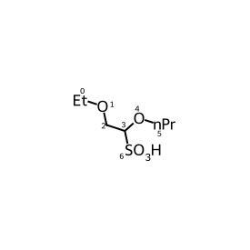 [CH2]COCC(OCCC)S(=O)(=O)O